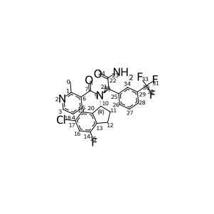 Cc1ncccc1C(=O)N([C@@H]1CCc2c(F)cc(Cl)cc21)[C@@H](C(N)=O)c1cccc(C(F)(F)F)c1